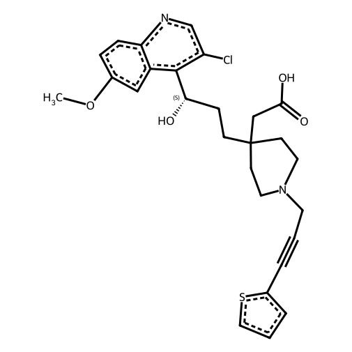 COc1ccc2ncc(Cl)c([C@@H](O)CCC3(CC(=O)O)CCN(CC#Cc4cccs4)CC3)c2c1